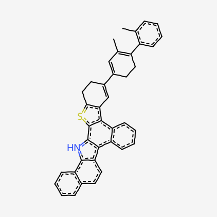 CC1=C(c2ccccc2C)CCC(C2=Cc3c(sc4c5[nH]c6c7ccccc7ccc6c5c5ccccc5c34)CC2)=C1